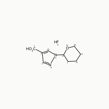 F.O=C(O)c1cnn(C2CCCCO2)c1